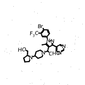 Cc1c(C(C=O)N2CCC(N3CCCC3CO)CC2)c(-c2cncnc2)nn1-c1ccc(Br)c(C(F)(F)F)c1